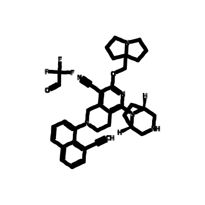 C#Cc1cccc2cccc(N3CCc4c(N5[C@@H]6CC[C@H]5CNC6)nc(OCC56CCCN5CCC6)c(C#N)c4C3)c12.O=CC(F)(F)F